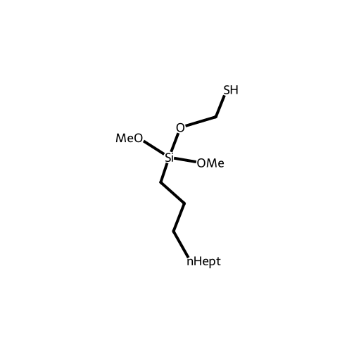 CCCCCCCCCC[Si](OC)(OC)OCS